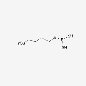 CCCCCCCCSP(S)S